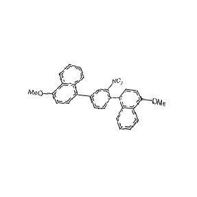 COc1ccc(-c2ccc(-c3ccc(OC)c4ccccc34)c([N+](=O)[O-])c2)c2ccccc12